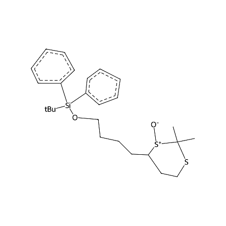 CC1(C)SCCC(CCCCO[Si](c2ccccc2)(c2ccccc2)C(C)(C)C)[S+]1[O-]